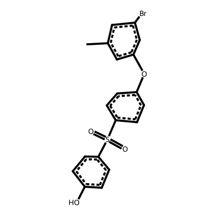 Cc1cc(Br)cc(Oc2ccc(S(=O)(=O)c3ccc(O)cc3)cc2)c1